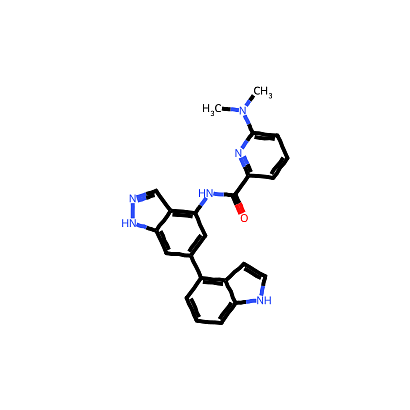 CN(C)c1cccc(C(=O)Nc2cc(-c3cccc4[nH]ccc34)cc3[nH]ncc23)n1